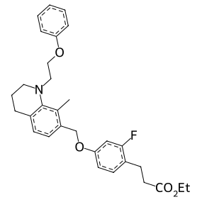 CCOC(=O)CCc1ccc(OCc2ccc3c(c2C)N(CCOc2ccccc2)CCC3)cc1F